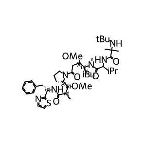 CC[C@H](C)[C@@H]([C@@H](CC(=O)N1CCC[C@H]1[C@H](OC)[C@@H](C)C(=O)N[C@@H](Cc1ccccc1)c1nccs1)OC)N(C)C(=O)C(NC(=O)C(C)(C)NC(C)(C)C)C(C)C